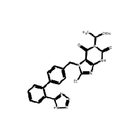 CCc1nc2[nH]c(=O)n(C(C)OC)c(=O)c2n1Cc1ccc(-c2ccccc2-c2nnn[nH]2)cc1